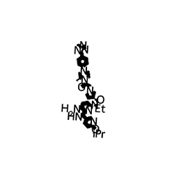 CCN(C(=O)[C@@H]1CCN(CC(=O)N2CCN(c3ccc(-c4ncn(C)n4)cc3)C[C@@H]2C)C1)c1ccc(N)c(C(=N)c2ccc(OC(C)C)nc2)n1